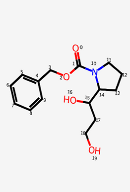 O=C(OCc1ccccc1)N1CCCC1C(O)CCO